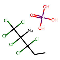 CCC(Cl)(Cl)[C]([Na])(Cl)C(Cl)(Cl)Cl.O=P(O)(O)O